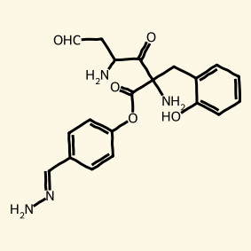 NN=Cc1ccc(OC(=O)C(N)(Cc2ccccc2O)C(=O)C(N)CC=O)cc1